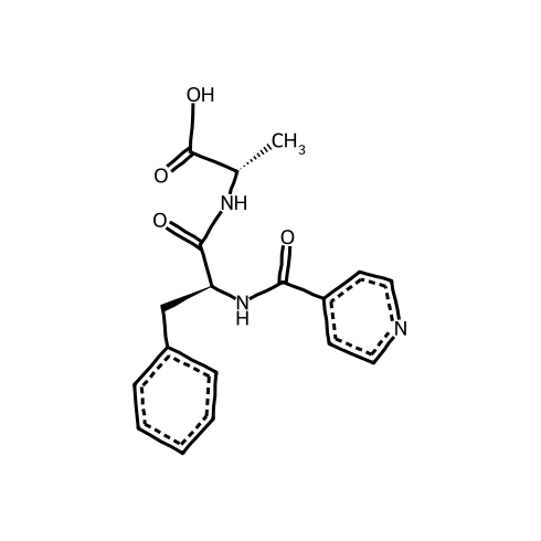 C[C@H](NC(=O)[C@H](Cc1ccccc1)NC(=O)c1ccncc1)C(=O)O